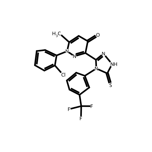 Cc1cc(=O)c(-c2n[nH]c(=S)n2-c2cccc(C(F)(F)F)c2)nn1-c1ccccc1Cl